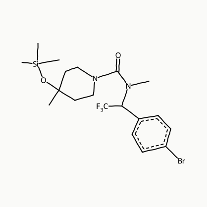 CN(C(=O)N1CCC(C)(O[Si](C)(C)C)CC1)C(c1ccc(Br)cc1)C(F)(F)F